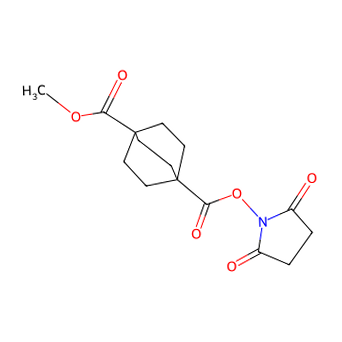 COC(=O)C12CCC(C(=O)ON3C(=O)CCC3=O)(CC1)CC2